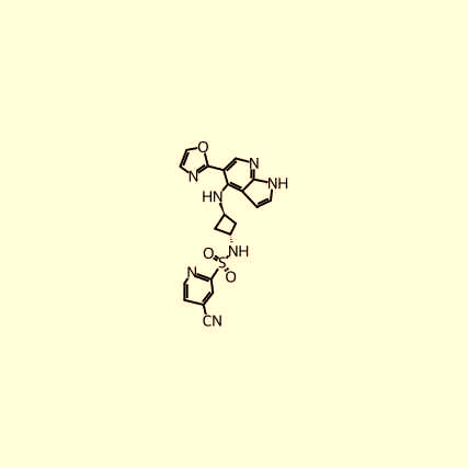 N#Cc1ccnc(S(=O)(=O)N[C@H]2C[C@H](Nc3c(-c4ncco4)cnc4[nH]ccc34)C2)c1